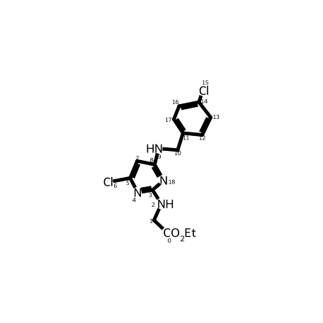 CCOC(=O)CNc1nc(Cl)cc(NCc2ccc(Cl)cc2)n1